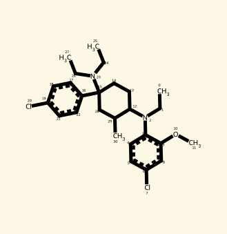 CCN(c1ccc(Cl)cc1OC)C1CCC(c2ccc(Cl)cc2)(N(CC)CC)CC1C